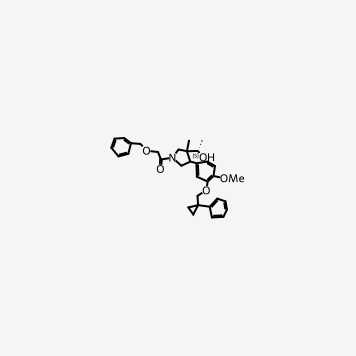 COc1ccc(C2CN(C(=O)COCc3ccccc3)CC2(C)[C@H](C)O)cc1OCC1(c2ccccc2)CC1